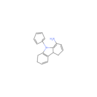 NC1=C2C(CC=C1)C1=C(CCC=C1)N2c1ccccc1